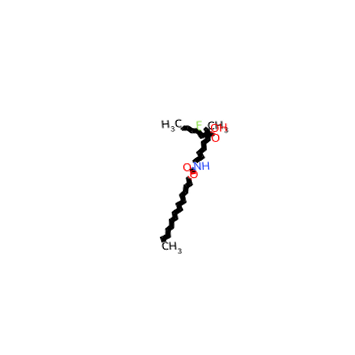 CCCCCCCCCCCCCCCCOC(=O)NCCCCCCC(CC)(CC(F)CCCC)C(=O)O